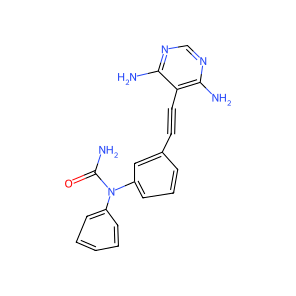 NC(=O)N(c1ccccc1)c1cccc(C#Cc2c(N)ncnc2N)c1